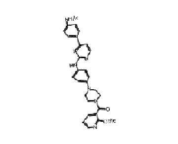 COc1ncccc1C(=O)N1CCN(c2ccc(Nc3nccc(-c4ccc(NC(C)=O)cc4)n3)cc2)CC1